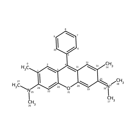 Cc1cc2c(-c3ccccc3)c3cc(C)c(=[N+](C)C)cc-3oc2cc1N(C)C